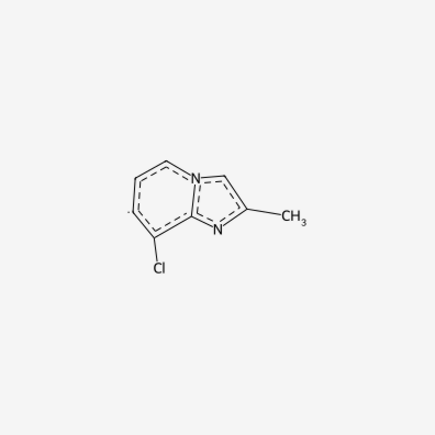 Cc1cn2cc[c]c(Cl)c2n1